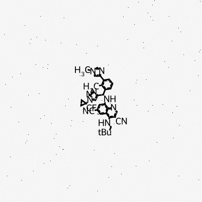 Cc1c(-c2cn(C)cn2)cccc1[C@H](Nc1cc(C#N)cc2c(NCC(C)(C)C)c(C#N)cnc12)c1cn(C2(C(F)(F)F)CC2)nn1